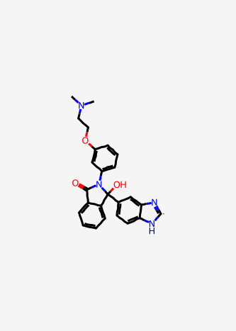 CN(C)CCOc1cccc(N2C(=O)c3ccccc3C2(O)c2ccc3[nH][c]nc3c2)c1